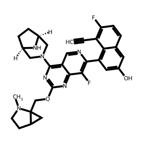 C#Cc1c(F)ccc2cc(O)cc(-c3ncc4c(N5C[C@H]6CC[C@@H](C5)N6)nc(OCC56CC5CCN6C)nc4c3F)c12